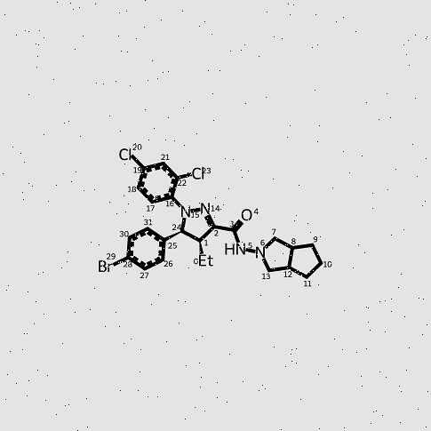 CC[C@@H]1C(C(=O)NN2CC3CCCC3C2)=NN(c2ccc(Cl)cc2Cl)[C@@H]1c1ccc(Br)cc1